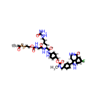 CN(Cc1ccc(-c2[nH]c3cc(F)cc4c3c2CCNC4=O)cc1)C(=O)OCc1ccc(NC(=O)[C@H](CCCCNC(N)=O)NC(=O)CNC(=O)OCCSSC(=O)C(C)(C)C)cc1